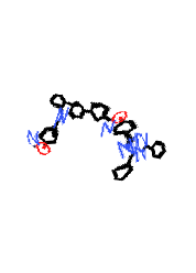 c1ccc(-c2nc(-c3ccccc3)nc(-c3ccc4oc(-c5cccc(-c6ccc7c(c6)c6ccccc6n7-c6ccc7ocnc7c6)c5)nc4c3)n2)cc1